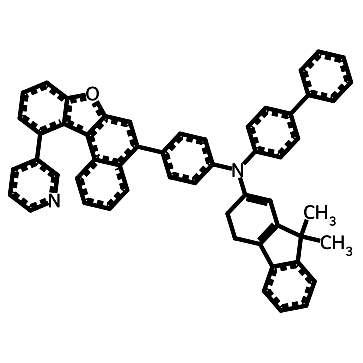 CC1(C)C2=C(CCC(N(c3ccc(-c4ccccc4)cc3)c3ccc(-c4cc5oc6cccc(-c7cccnc7)c6c5c5ccccc45)cc3)=C2)c2ccccc21